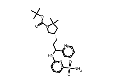 CC(C)(C)OC(=O)N1C[C@@H](CCC(Nc2cccc(S(N)(=O)=O)n2)c2ccccn2)CC1(C)C